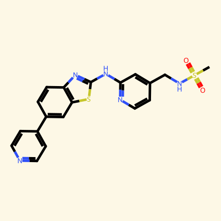 CS(=O)(=O)NCc1ccnc(Nc2nc3ccc(-c4ccncc4)cc3s2)c1